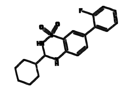 O=S1(=O)NC(C2CCCCC2)Nc2ccc(-c3ccccc3F)cc21